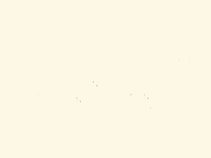 CC(=O)N(c1ccc(C)cc1)c1ccc2nc(NC(=O)c3ccco3)sc2c1